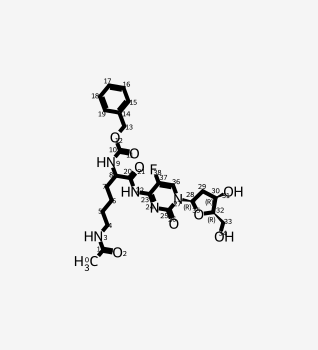 CC(=O)NCCCCC(NC(=O)OCc1ccccc1)C(=O)Nc1nc(=O)n([C@H]2C[C@@H](O)[C@@H](CO)O2)cc1F